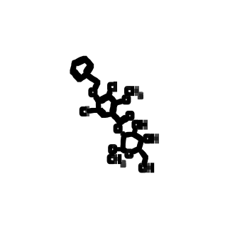 COc1c(C(=O)O[C@H]2[C@@H](OC)O[C@H](CO)[C@H](O)[C@@H]2O)cc(Cl)c(OCc2ccccc2)c1Cl